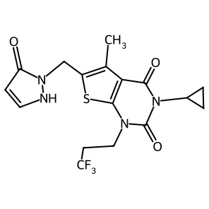 Cc1c(Cn2[nH]ccc2=O)sc2c1c(=O)n(C1CC1)c(=O)n2CCC(F)(F)F